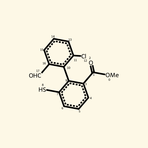 COC(=O)c1cccc(S)c1-c1c(Cl)cccc1C=O